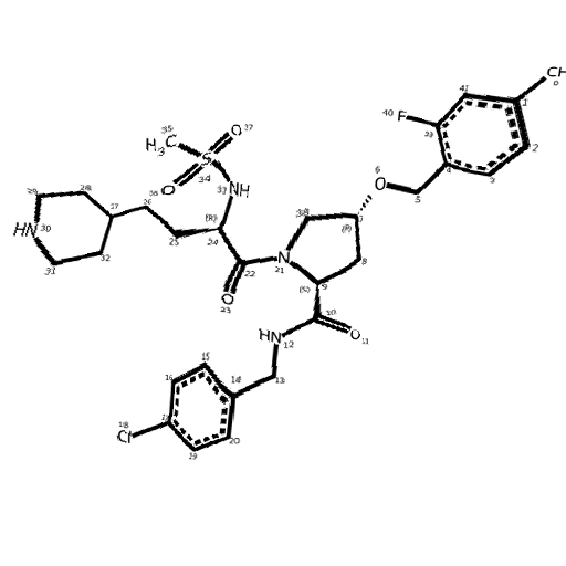 Cc1ccc(CO[C@@H]2C[C@@H](C(=O)NCc3ccc(Cl)cc3)N(C(=O)[C@@H](CCC3CCNCC3)NS(C)(=O)=O)C2)c(F)c1